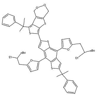 CCCCC(CC)Cc1ccc(-c2c3cc(C(C)(C)c4ccccc4)sc3c(-c3ccc(CC(CC)CCCC)o3)c3cc(-c4sc(C(C)(C)c5ccccc5)c5c6c(sc45)COOC6)sc23)o1